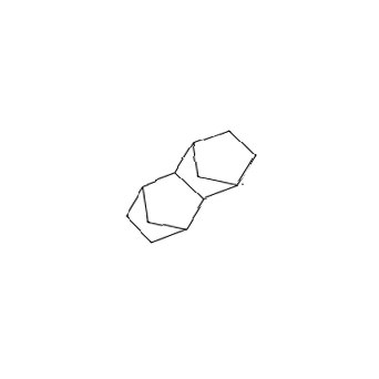 C1CC2C[C]1C1C3CCC(C3)C21